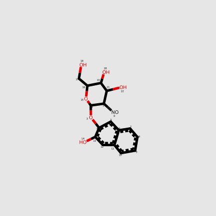 O=NC1C(Oc2cc3ccccc3cc2O)OC(CO)C(O)C1O